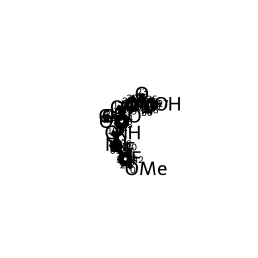 COc1ccc(-c2cnc(C(=O)Nc3ccc(C(=O)N4CCN(C(=O)[C@@H]5C[C@@H](O)C[N+]5(C)C)CC4)c(Cl)c3)n2C)c(F)c1F.O=C[O-]